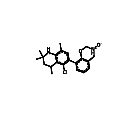 Cc1cc(-c2cccc3c2OC[NH+]([O-])C3)c(Cl)c2c1NC(C)(C)CC2C